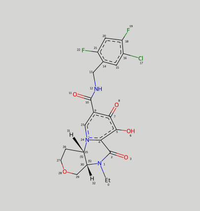 CCN1C(=O)c2c(O)c(=O)c(C(=O)NCc3cc(Cl)c(F)cc3F)cn2[C@H]2CCOC[C@H]21